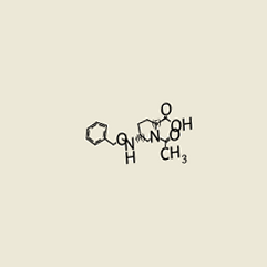 CC(=O)N1C[C@H](NOCc2ccccc2)CC[C@H]1C(=O)O